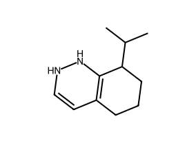 CC(C)C1CCCC2=C1NNC=C2